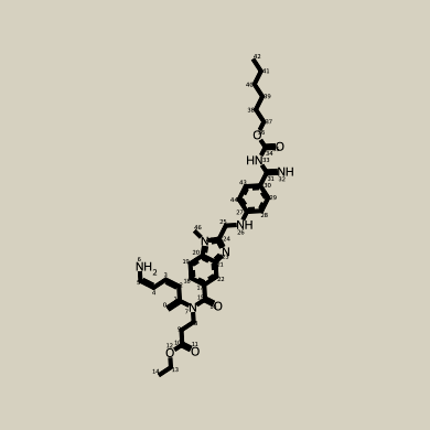 C=C(/C=C\C=C/N)N(CCC(=O)OCC)C(=O)c1ccc2c(c1)nc(CNc1ccc(C(=N)NC(=O)OCCCCCC)cc1)n2C